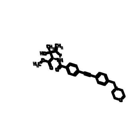 C=C(F)[C@@](C)(O)[C@H](NC(=O)c1ccc(C#Cc2ccc(CN3CCOCC3)cc2)cc1)C(=O)OC